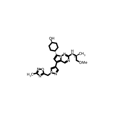 COC[C@H](C)Nc1ncc2c(-c3cnn(Cc4nc(C)no4)c3)cc([C@H]3CC[C@H](O)CC3)n2n1